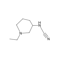 CCN1CCCC(NC#N)C1